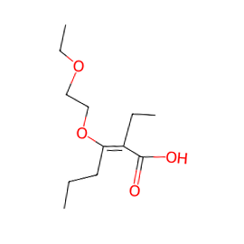 CCCC(OCCOCC)=C(CC)C(=O)O